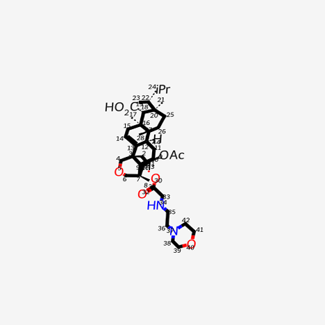 CC(=O)O[C@@H]1C[C@]23COC[C@](C)([C@@H]2CC[C@H]2C3=CC[C@@]3(C)[C@H](C(=O)O)[C@@](C)([C@H](C)C(C)C)CC[C@]23C)[C@H]1OC(=O)CNCCN1CCOCC1